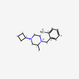 CC1CN(C2CCC2)CCN1Cc1ccccc1C#N